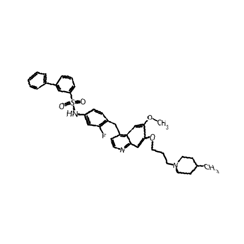 COc1cc2c(Cc3ccc(NS(=O)(=O)c4cccc(-c5ccccc5)c4)cc3F)ccnc2cc1OCCCN1CCC(C)CC1